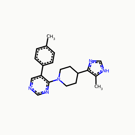 Cc1ccc(-c2cncnc2N2CCC(c3nc[nH]c3C)CC2)cc1